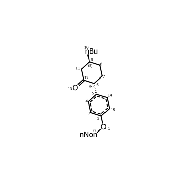 CCCCCCCCCOc1ccc([C@H]2CC[C@H](CCCC)CC2=O)cc1